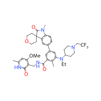 CCN(c1cc(-c2ccc3c(c2)C2(CCOCC2)C(=O)N3C)cc(C(=O)NCc2c(OC)cc(C)[nH]c2=O)c1C)C1CCN(CC(F)(F)F)CC1